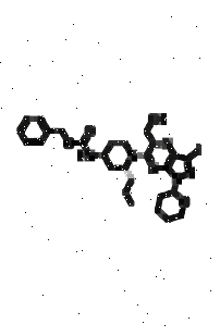 CCC[C@@H]1C[C@@H](NC(=O)OCc2ccccc2)CCN1c1nc2c(nc1CO)c(I)nn2C1CCCCO1